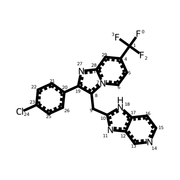 FC(F)(F)c1ccn2c(Cc3nc4cnccc4[nH]3)c(-c3ccc(Cl)cc3)nc2c1